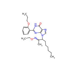 CCCCCCC(C(C)=NOCC)n1cnc2c(=O)[nH]c(-c3ccccc3OCCC)nc21